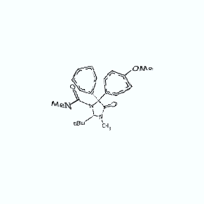 CNC(=O)N1C(C(C)(C)C)N(C)C(=O)C1(c1ccccc1)c1ccc(OC)cc1